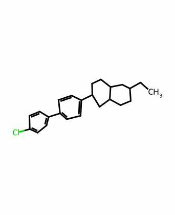 CCC1CCC2CC(c3ccc(-c4ccc(Cl)cc4)cc3)CCC2C1